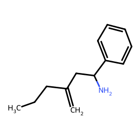 C=C(CCC)CC(N)c1ccccc1